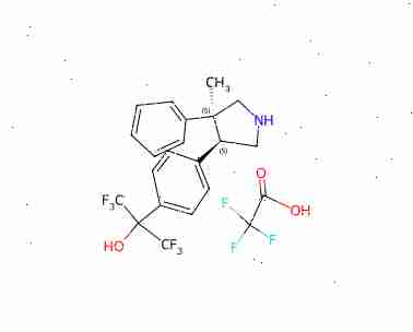 C[C@]1(c2ccccc2)CNC[C@H]1c1ccc(C(O)(C(F)(F)F)C(F)(F)F)cc1.O=C(O)C(F)(F)F